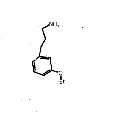 CCOc1cccc(CCCN)c1